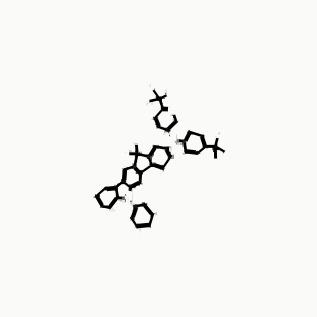 C=C(/C=C\C(=C/C)N(c1ccc(C(C)(C)C)cc1)c1ccc2c(c1)C(C)(C)c1cc3c4ccccc4n(-c4ccccc4)c3cc1-2)C(C)(C)C